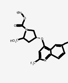 Cc1ccc2nc(C(F)(F)F)cc(O[C@@H]3CC(C(=O)O)N(C(=O)OC(C)(C)C)C3)c2c1